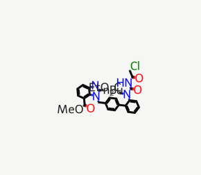 CCCCc1nc2cccc(C(=O)OC)c2n1Cc1ccc(-c2ccccc2N(CC(=O)OCC)C(=O)NC(=O)CCl)cc1